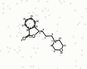 O=C1O[C@H](CCCN2CCOCC2)c2ccccc21